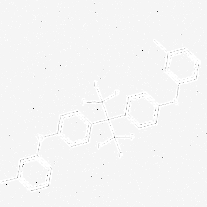 Cc1cccc(Oc2ccc(C(c3ccc(Oc4cccc(C)c4)cc3)(C(F)(F)F)C(F)(F)F)cc2)c1